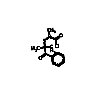 CN(SC(C)(C)C(=O)c1ccccc1)C(=O)Cl